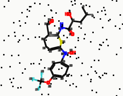 CC(C)CC(O)C(=O)NC1=C(C=O)CCC=C(N(O)C2=CCC=C(OC(F)(F)F)C=C2)S1